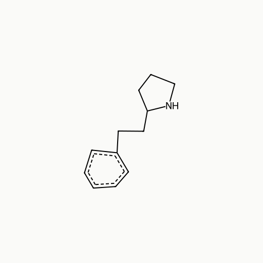 c1ccc(CCC2CCCN2)cc1